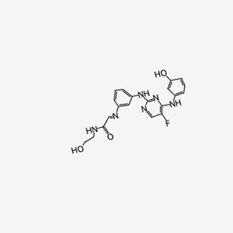 O=C(C=Nc1cccc(Nc2ncc(F)c(Nc3cccc(O)c3)n2)c1)NCCO